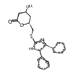 O=C1CC(O)C[C@@H](CSc2nc(-c3ccccc3)c(-c3ccccc3)[nH]2)O1